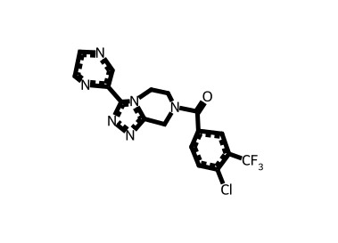 O=C(c1ccc(Cl)c(C(F)(F)F)c1)N1CCn2c(nnc2-c2cnccn2)C1